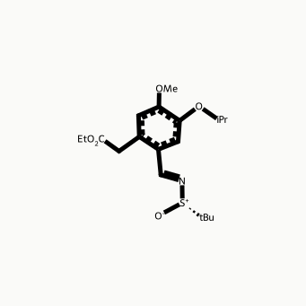 CCOC(=O)Cc1cc(OC)c(OC(C)C)cc1/C=N/[S@@+]([O-])C(C)(C)C